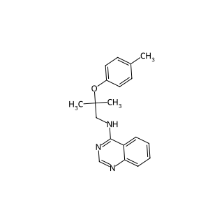 Cc1ccc(OC(C)(C)CNc2ncnc3ccccc23)cc1